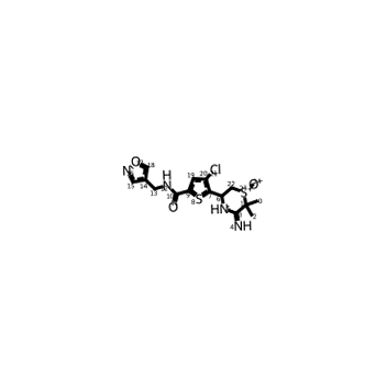 CC1(C)C(=N)NC(c2sc(C(=O)NCc3cnoc3)cc2Cl)C[S+]1[O-]